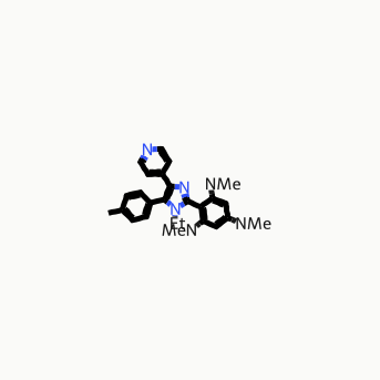 CCn1c(-c2c(NC)cc(NC)cc2NC)nc(-c2ccncc2)c1-c1ccc(C)cc1